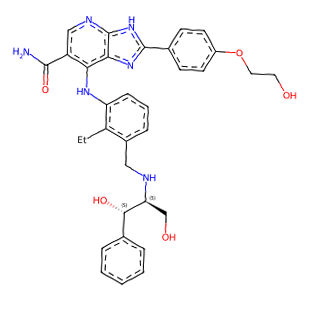 CCc1c(CN[C@@H](CO)[C@@H](O)c2ccccc2)cccc1Nc1c(C(N)=O)cnc2[nH]c(-c3ccc(OCCO)cc3)nc12